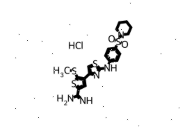 CSc1sc(C(=N)N)cc1-c1csc(Nc2ccc(S(=O)(=O)N3CCCCC3)cc2)n1.Cl